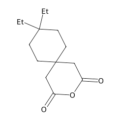 CCC1(CC)CCC2(CC1)CC(=O)OC(=O)C2